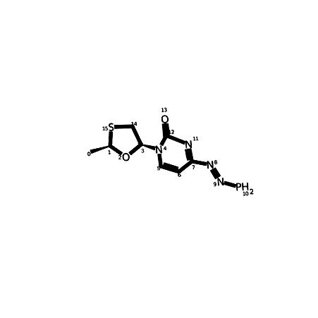 C[C@@H]1O[C@H](n2ccc(N=NP)nc2=O)CS1